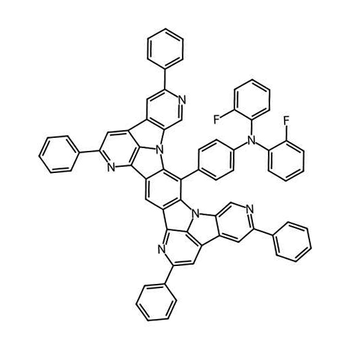 Fc1ccccc1N(c1ccc(-c2c3c(cc4c5nc(-c6ccccc6)cc6c7cc(-c8ccccc8)ncc7n(c24)c65)c2nc(-c4ccccc4)cc4c5cc(-c6ccccc6)ncc5n3c42)cc1)c1ccccc1F